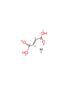 O=C(O)C=CC(=O)O.[H]